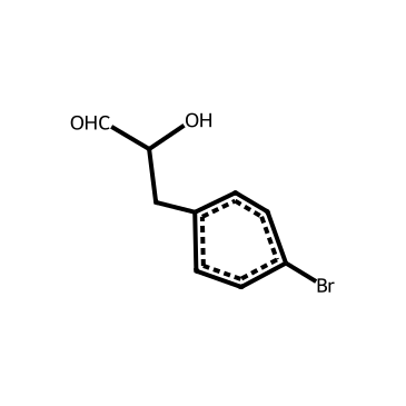 O=CC(O)Cc1ccc(Br)cc1